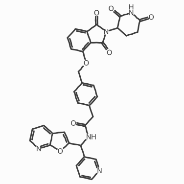 O=C1CCC(N2C(=O)c3cccc(OCc4ccc(CC(=O)NC(c5cccnc5)c5cc6cccnc6o5)cc4)c3C2=O)C(=O)N1